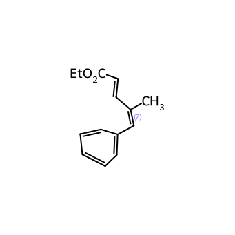 CCOC(=O)C=C/C(C)=C\c1ccccc1